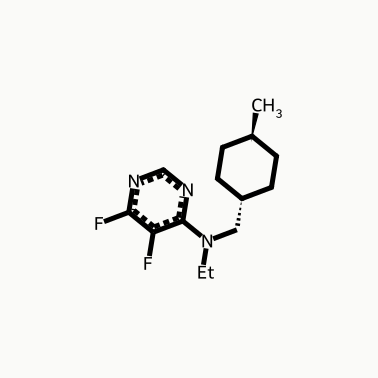 CCN(C[C@H]1CC[C@H](C)CC1)c1ncnc(F)c1F